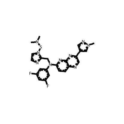 CN(C)Sn1ccnc1CN(c1cc(F)cc(F)c1)c1ccc2ncc(-c3cnn(C)c3)nc2n1